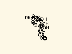 CC(C)(C)C(=O)OCOP(=O)(OCOC(=O)C(C)(C)C)OP(=O)(O)OC[C@H]1O[C@@H](n2ccc(=O)n(Cc3noc4ccccc34)c2=O)[C@@H](O)C1O